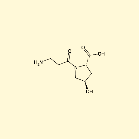 NCCC(=O)N1C[C@H](O)C[C@H]1C(=O)O